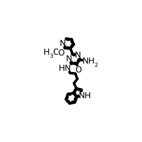 COc1ncccc1-c1nc(N)c2c(n1)NCC(CCc1c[nH]c3ccccc13)O2